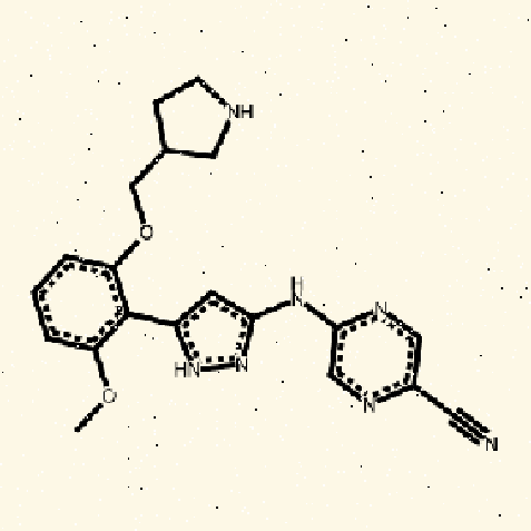 COc1cccc(OCC2CCNC2)c1-c1cc(Nc2cnc(C#N)cn2)n[nH]1